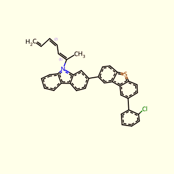 C=C/C=C\C=C(/C)n1c2ccccc2c2ccc(-c3ccc4sc5ccc(-c6ccccc6Cl)cc5c4c3)cc21